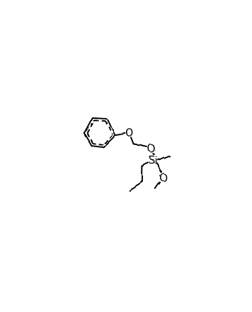 CCC[Si](C)(OC)OCOc1ccccc1